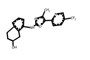 Cc1nc(Nc2cccc3c2CC(O)CC3)oc1-c1ccc(C(F)(F)F)cn1